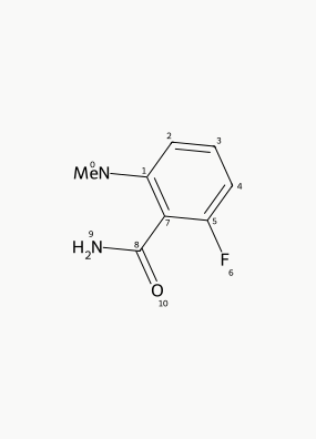 CNc1cccc(F)c1C(N)=O